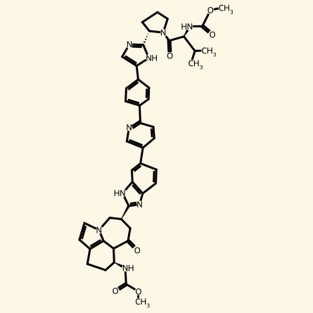 COC(=O)N[C@H]1CCc2ccn3c2C1C(=O)C[C@H](c1nc2ccc(-c4ccc(-c5ccc(-c6cnc([C@@H]7CCCN7C(=O)[C@@H](NC(=O)OC)C(C)C)[nH]6)cc5)nc4)cc2[nH]1)C3